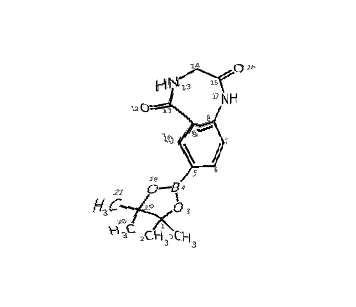 CC1(C)OB(c2ccc3c(c2)C(=O)NCC(=O)N3)OC1(C)C